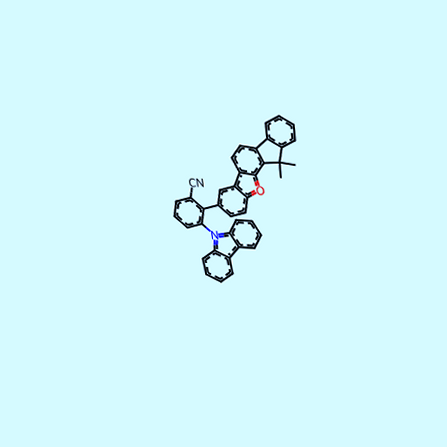 CC1(C)c2ccccc2-c2ccc3c(oc4ccc(-c5c(C#N)cccc5-n5c6ccccc6c6ccccc65)cc43)c21